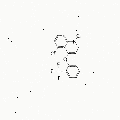 FC(F)(F)c1ccccc1OC1=CCN(Cl)c2cccc(Cl)c21